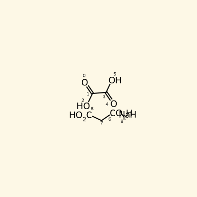 O=C(O)C(=O)O.O=C(O)CC(=O)O.[NaH]